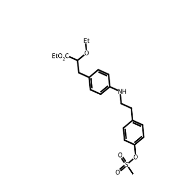 CCOC(=O)C(Cc1ccc(NCCc2ccc(OS(C)(=O)=O)cc2)cc1)OCC